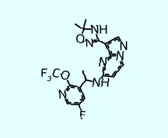 CC(Nc1ccn2ncc(C3=NOC(C)(C)N3)c2n1)c1cc(F)cnc1OC(F)(F)F